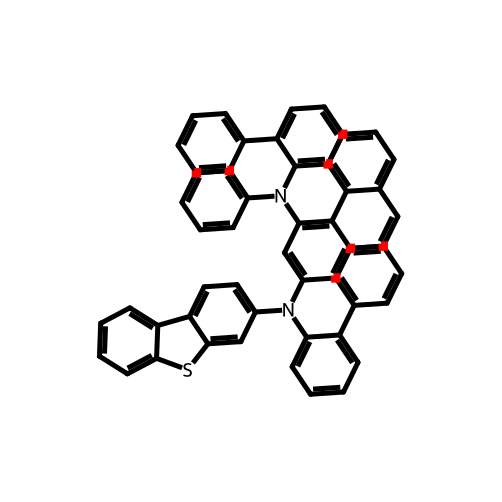 c1ccc(-c2ccccc2N(c2cc(N(c3ccccc3)c3ccccc3-c3ccccc3)c3c(ccc4ccccc43)c2)c2ccc3c(c2)sc2ccccc23)cc1